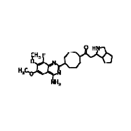 COc1cc2c(N)nc(C3CCCC(C(=O)CC4NCC5CCCC54)CCC3)nc2c(F)c1OC